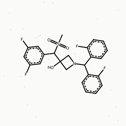 CS(=O)(=O)C(c1cc(F)cc(F)c1)C1(O)CN(C(c2ccccc2F)c2ccccc2F)C1